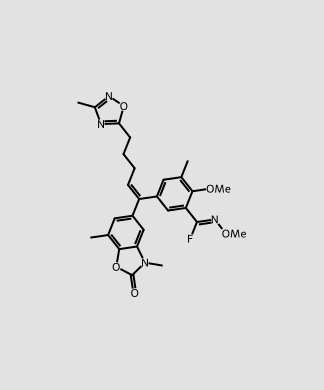 CO/N=C(\F)c1cc(/C(=C\CCCc2nc(C)no2)c2cc(C)c3oc(=O)n(C)c3c2)cc(C)c1OC